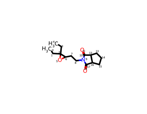 CCC1(CC)OC1CCN1C(=O)C2CCCC2C1=O